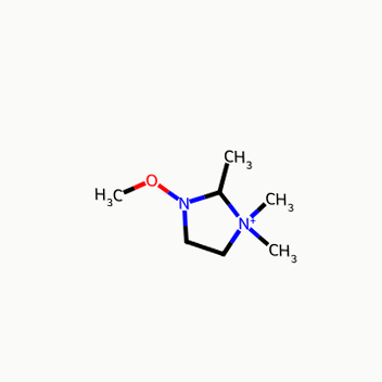 CON1CC[N+](C)(C)C1C